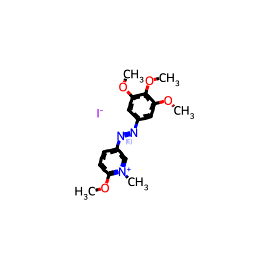 COc1cc(/N=N/c2ccc(OC)[n+](C)c2)cc(OC)c1OC.[I-]